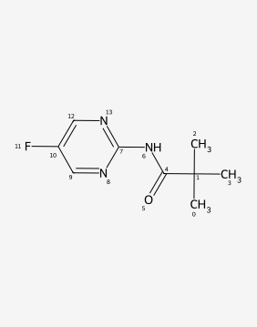 CC(C)(C)C(=O)Nc1ncc(F)cn1